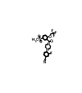 CS(=O)(=O)c1ccc(OCC(F)(F)F)c(C(=O)N2CCN(c3ccc(C#N)cc3F)CC2)c1